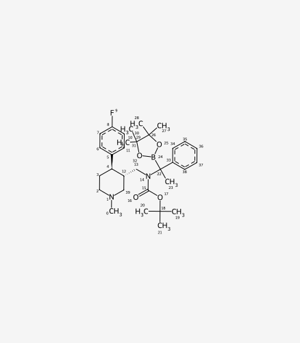 CN1CC[C@@H](c2ccc(F)cc2)[C@H](CN(C(=O)OC(C)(C)C)C(C)(B2OC(C)(C)C(C)(C)O2)c2ccccc2)C1